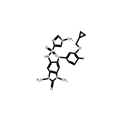 Cn1cnc(S(=O)(=O)Nc2cc3c(cc2Oc2ccc(F)c(OCC4CC4)c2)n(C)c(=O)n3C)c1